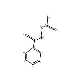 CCC(=O)ONC(=O)c1ccccc1